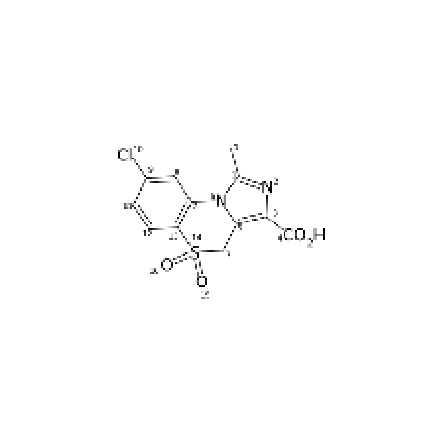 Cc1nc(C(=O)O)c2n1-c1cc(Cl)ccc1S(=O)(=O)C2